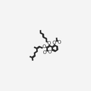 CCC=CCCOc1c(OCC=C(C)CCC=C(C)C)c(=O)oc2cccc(OC(C)=O)c12